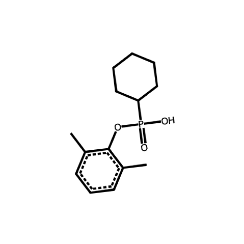 Cc1cccc(C)c1OP(=O)(O)C1CCCCC1